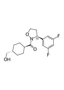 O=C([C@H]1CC[C@H](CO)CC1)N1OCC[C@H]1c1cc(F)cc(F)c1